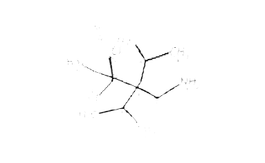 CC(C)C(CN)(C(C)C)C(N)(Cl)Cl.[Pt]